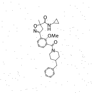 COc1c(C(=O)N2CCC(Cc3ccccc3)CC2)cccc1C1=NOC(C)(C(=O)NC2CC2)C1